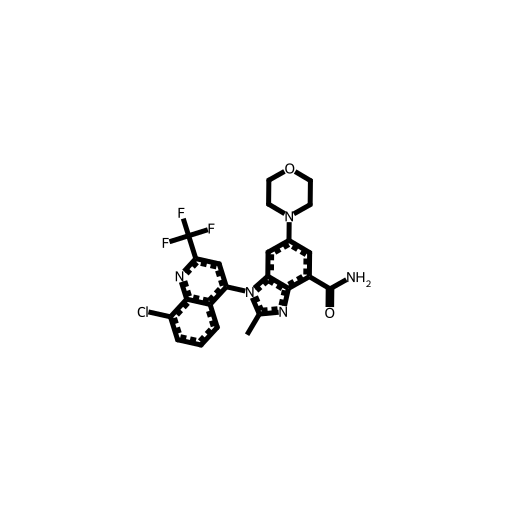 Cc1nc2c(C(N)=O)cc(N3CCOCC3)cc2n1-c1cc(C(F)(F)F)nc2c(Cl)cccc12